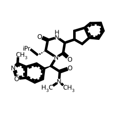 Cc1noc2ccc([C@H](C(=O)N(C)C)N3C(=O)C(C4Cc5ccccc5C4)NC(=O)[C@H]3CC(C)C)cc12